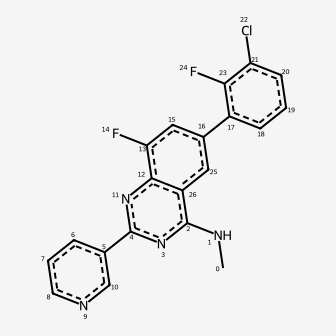 CNc1nc(-c2cccnc2)nc2c(F)cc(-c3cccc(Cl)c3F)cc12